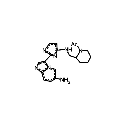 CC(=O)N1CCCCC1CNc1ccnc(-c2cnc3ccc(N)cn23)n1